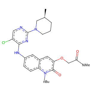 CCCCn1c(=O)c(OCC(=O)NC)cc2cc(Nc3nc(N4CCC[C@H](C)C4)ncc3Cl)ccc21